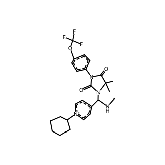 CNC(c1cc[n+](C2CCCCC2)cc1)N1C(=O)N(c2ccc(OC(F)(F)F)cc2)C(=O)C1(C)C